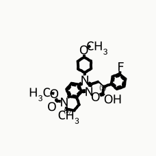 COC(=O)N1c2ccc3c(nc(C[C@H](C(=O)O)c4cccc(F)c4)n3C3CCC(OC)CC3)c2CC[C@@H]1C